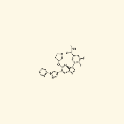 CNC(=O)c1cc(F)c(F)c(-c2cnc3cc(-c4cnn(-c5ccccn5)c4)c(OC4CCOC4)nn23)c1